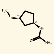 NC(=O)N[C@@H]1CC[C@H](OC(F)(F)F)C1